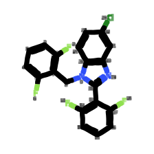 Fc1cccc(F)c1Cn1c(-c2c(F)cccc2F)nc2cc(Cl)ccc21